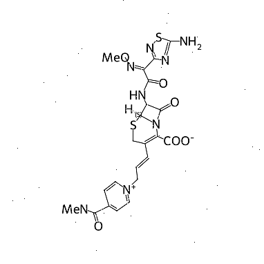 CNC(=O)c1cc[n+](CC=CC2=C(C(=O)[O-])N3C(=O)C(NC(=O)C(=NOC)c4nsc(N)n4)[C@@H]3SC2)cc1